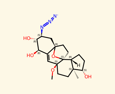 CO[C@@]12C=C3[C@@H](O)[C@H](O)[C@@H](N=[N+]=[N-])C[C@]34CC[C@]1(O4)[C@@H]1CC[C@H](O)[C@@]1(C)CC2